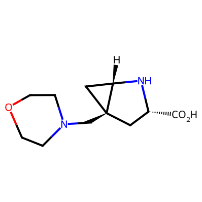 O=C(O)[C@@H]1C[C@]2(CN3CCOCC3)C[C@@H]2N1